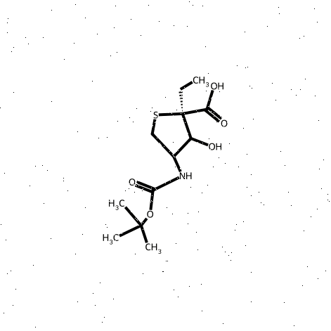 CC[C@@]1(C(=O)O)SCC(NC(=O)OC(C)(C)C)C1O